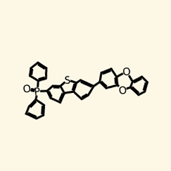 O=P(c1ccccc1)(c1ccccc1)c1ccc2c(c1)sc1cc(-c3ccc4c(c3)Oc3ccccc3O4)ccc12